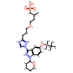 CC(CCOCCCc1ncn(-c2nn(C3CCCCO3)c3ccc(O[Si](C)(C)C(C)(C)C)cc23)n1)CS(=O)(=O)O